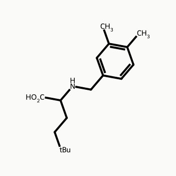 Cc1ccc(CNC(CCC(C)(C)C)C(=O)O)cc1C